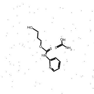 NC(O)=S.OCCCOC(=S)Nc1ccccn1